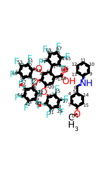 COc1ccc(CNc2ccccc2)cc1.O=C(O)c1cc(Oc2c(F)c(F)c(F)c(F)c2F)c(Oc2c(F)c(F)c(F)c(F)c2F)c(Oc2c(F)c(F)c(F)c(F)c2F)c1-c1c(F)c(F)c(F)c(F)c1F